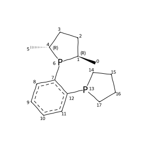 C[C@@H]1CC[C@@H](C)P1c1ccccc1P1CCCC1